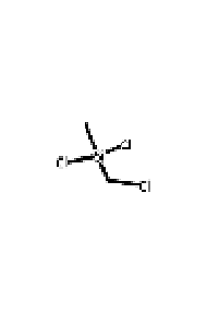 C[Si](Cl)(Cl)CCl